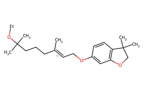 CCOC(C)(C)CCC/C(C)=C/COc1ccc2c(c1)OCC2(C)C